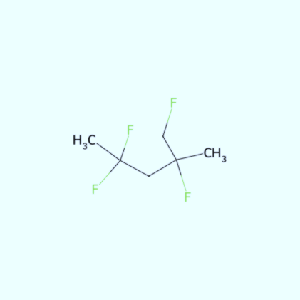 CC(F)(F)CC(C)(F)CF